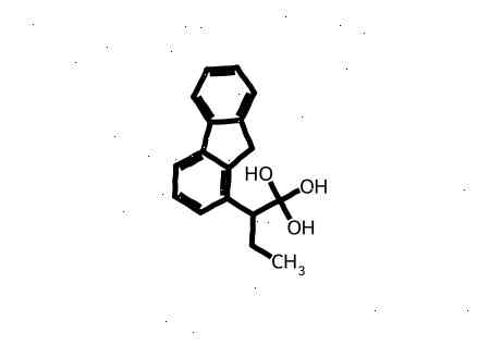 CCC(c1cccc2c1Cc1ccccc1-2)C(O)(O)O